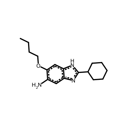 CCCCOc1cc2[nH]c(C3CCCCC3)nc2cc1N